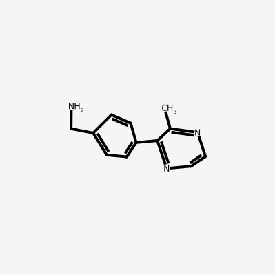 Cc1nccnc1-c1ccc(CN)cc1